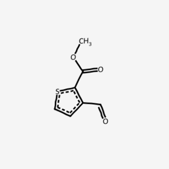 COC(=O)c1sccc1C=O